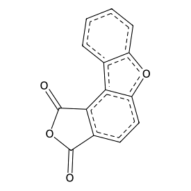 O=C1OC(=O)c2c1ccc1oc3ccccc3c21